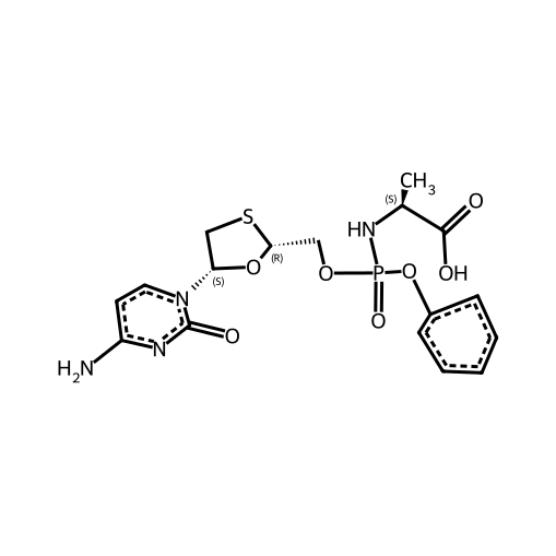 C[C@H](NP(=O)(OC[C@@H]1O[C@H](n2ccc(N)nc2=O)CS1)Oc1ccccc1)C(=O)O